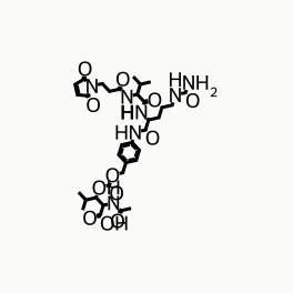 CC(=O)NC(C(=O)O)C(OC(=O)OCc1ccc(NC(=O)C(CCCNC(N)=O)NC(=O)C(NC(=O)CCN2C(=O)C=CC2=O)C(C)C)cc1)C(C)C